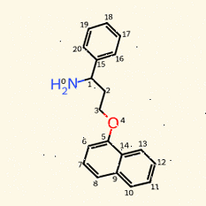 NC(CCOc1cccc2ccccc12)c1ccccc1